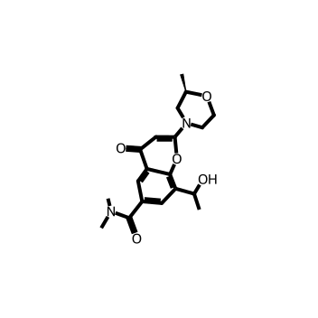 CC(O)c1cc(C(=O)N(C)C)cc2c(=O)cc(N3CCO[C@H](C)C3)oc12